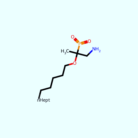 CCCCCCCCCCCCOC(C)(CN)P(=O)=O